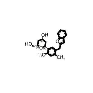 Cc1cc(O)c([C@H]2C[C@@H](O)C[C@@H](CO)O2)cc1Cc1cc2ccccc2o1